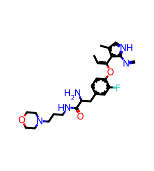 C=Nc1[nH]cc(C)c1/C(=C\C)Oc1ccc(CC(N)C(=O)NCCCN2CCOCC2)cc1F